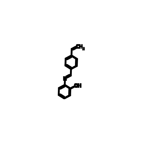 C=Cc1ccc(/C=N/c2ccccc2O)cc1